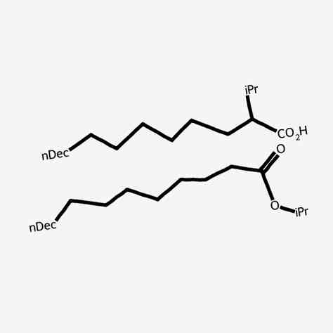 CCCCCCCCCCCCCCCCC(C(=O)O)C(C)C.CCCCCCCCCCCCCCCCCC(=O)OC(C)C